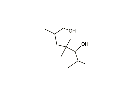 CC(CO)CC(C)(C)C(O)C(C)C